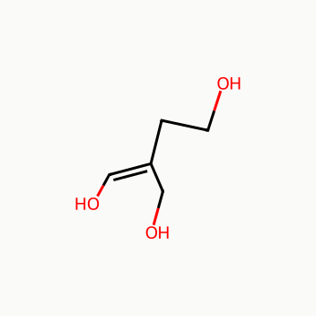 O/C=C(\CO)CCO